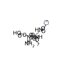 CC1CC1COC(=O)NC(CCCCNC(=O)OCC1C2CC/C=C\CCC21)C(=O)NC(CCCCN)C(=O)NCCOCCC(=O)O